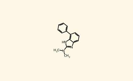 CN(C)c1nc2cccc(-c3ccccc3)c2[nH]1